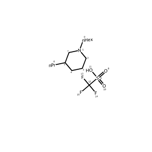 CCCCCCN1CCCC(CCC)C1.O=S(=O)(O)C(F)(F)F